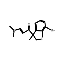 CN(C)/C=C/C(=O)C1(C)COc2c(Br)cccc21